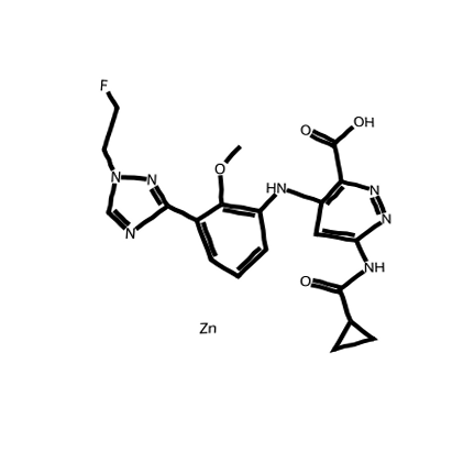 COc1c(Nc2cc(NC(=O)C3CC3)nnc2C(=O)O)cccc1-c1ncn(CCF)n1.[Zn]